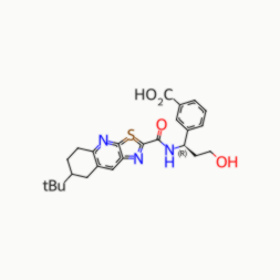 CC(C)(C)C1CCc2nc3sc(C(=O)N[C@H](CCO)c4cccc(C(=O)O)c4)nc3cc2C1